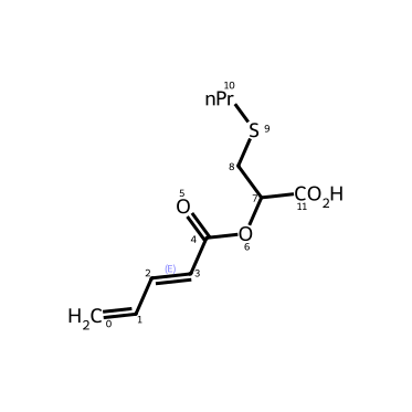 C=C/C=C/C(=O)OC(CSCCC)C(=O)O